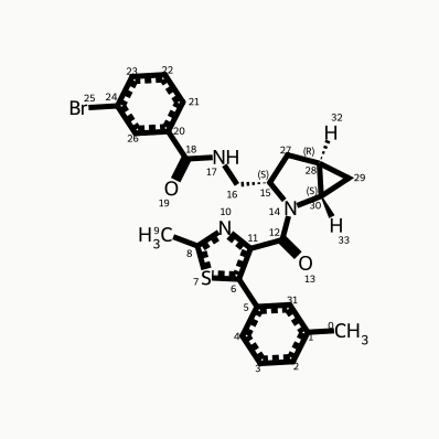 Cc1cccc(-c2sc(C)nc2C(=O)N2[C@H](CNC(=O)c3cccc(Br)c3)C[C@H]3C[C@@H]32)c1